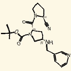 CC(C)(C)OC(=O)N1C[C@@H](NCc2cccnc2)C[C@H]1C(=O)N1CCC[C@H]1C#N